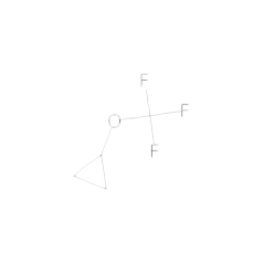 FC(F)(F)OC1CC1